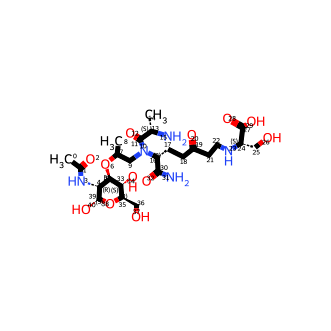 CC(=O)N[C@@H]1[C@@H](OC(C)CN(C(=O)[C@H](C)N)[C@H](CCC(=O)CCN[C@@H](CO)C(=O)O)C(N)=O)[C@H](O)[C@@H](CO)O[C@@H]1O